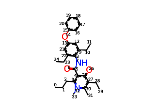 CCCc1c(C(=O)Nc2c(CC)cc(Oc3ccccc3)cc2CC)c(=O)c(CC)c(C)n1C